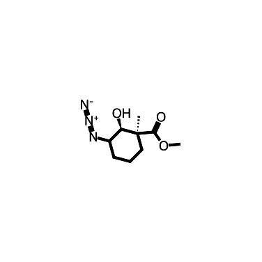 COC(=O)[C@@]1(C)CCCC(N=[N+]=[N-])[C@H]1O